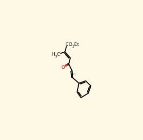 CCOC(=O)C(C)=CC(=O)/C=C/c1ccccc1